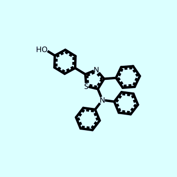 Oc1ccc(-c2nc(-c3ccccc3)c(N(c3ccccc3)c3ccccc3)s2)cc1